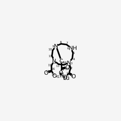 O=C1CN2CCNCCN3CCN(CC2)CC(=O)[O][177Lu]([O]1)[O]C(=O)C3